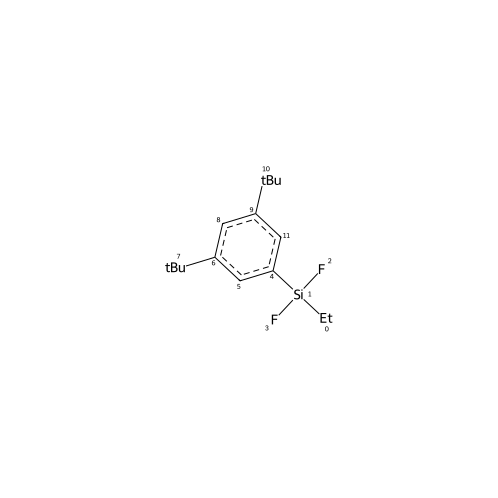 CC[Si](F)(F)c1cc(C(C)(C)C)cc(C(C)(C)C)c1